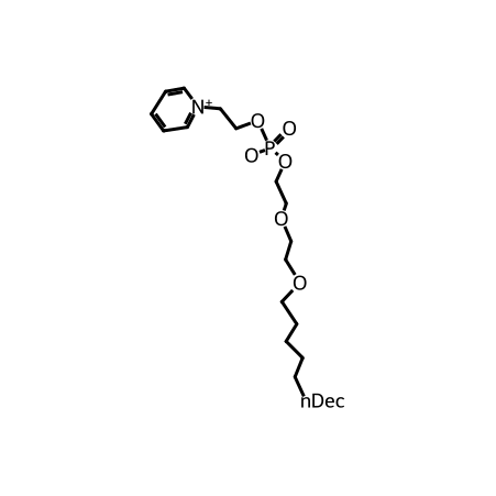 CCCCCCCCCCCCCCCOCCOCCOP(=O)([O-])OCC[n+]1ccccc1